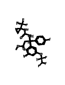 COC(=O)C[C@@](NC(=O)NC1(C(F)(F)F)CC1)(c1ccc(F)cc1)c1cc(F)cc(OC(F)(F)C(F)F)c1